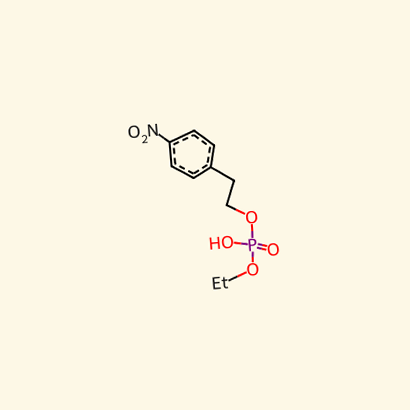 CCOP(=O)(O)OCCc1ccc([N+](=O)[O-])cc1